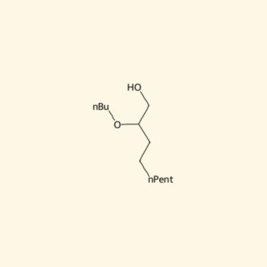 CCCCCCCC(CO)OCCCC